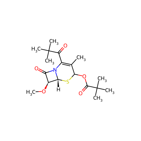 CO[C@H]1C(=O)N2C(C(=O)C(C)(C)C)=C(C)C(OC(=O)C(C)(C)C)S[C@H]12